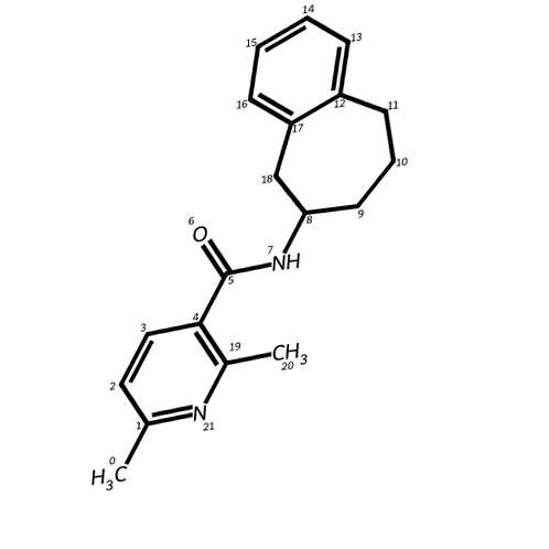 Cc1ccc(C(=O)NC2CCCc3ccccc3C2)c(C)n1